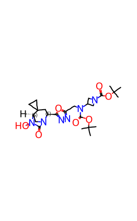 CC(C)(C)OC(=O)N1CC(N(Cc2nnc([C@@H]3CC4(CC4)[C@H]4CN3C(=O)N4O)o2)C(=O)OC(C)(C)C)C1